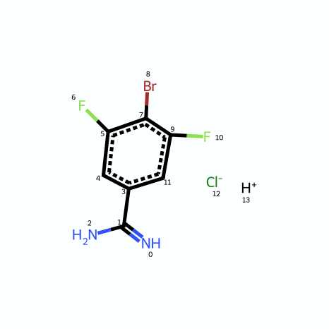 N=C(N)c1cc(F)c(Br)c(F)c1.[Cl-].[H+]